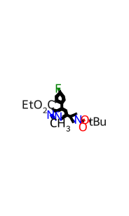 CCOC(=O)c1cc(F)ccc1-c1cc(C2CN(C(=O)OC(C)(C)C)C2)cn2c(C)ncc12